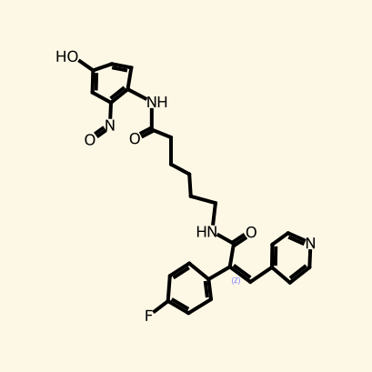 O=Nc1cc(O)ccc1NC(=O)CCCCCNC(=O)/C(=C\c1ccncc1)c1ccc(F)cc1